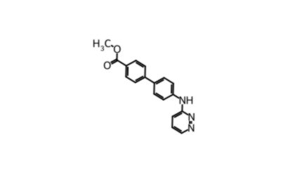 COC(=O)c1ccc(-c2ccc(Nc3cccnn3)cc2)cc1